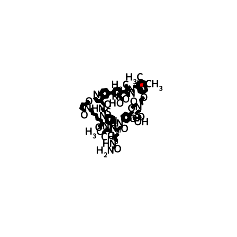 Cc1c(-c2ccc(-c3ccc4nccc(C(=O)Nc5nc6ccccc6s5)c4c3)nc2C(=O)O)cnn1CC12CC3(C)CC(OCCN(CCS(=O)(=O)O)C(=O)OCc4ccc(NC(=O)[C@H](CCCNC(N)=O)NC(=O)[C@@H](NC(=O)CCCCCN5C(=O)C=CC5=O)C(C)C)cc4)(C1)C[C@](C)(C3)C2